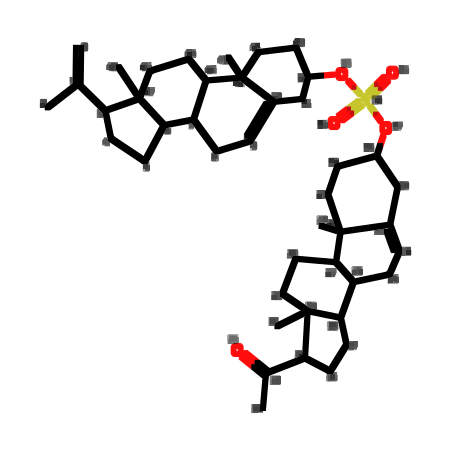 C=C(C)C1CCC2C3CC=C4CC(OS(=O)(=O)OC5CCC6(C)C(=CCC7C6CCC6(C)C(C(C)=O)CCC76)C5)CCC4(C)C3CCC12C